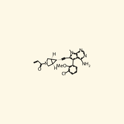 C=CC(=O)N1C[C@@H]2[C@@H](C#Cc3c(-c4cccc(Cl)c4OC)c4c(N)ncnc4n3C)[C@@H]2C1